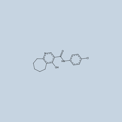 O=C(Nc1ccc(Cl)cc1)c1cnc2c(c1O)CCCCC2